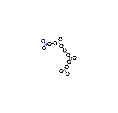 C1=CCCC(N(c2ccccc2)c2ccc(-c3ccc(N(c4ccccc4)c4ccc(-c5ccc(-c6ccc(N(c7ccccc7)c7ccc(-c8ccc(N(c9ccccc9)c9ccccc9)cc8)cc7)cc6)cc5)cc4)cc3)cc2)=C1